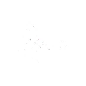 C=C/C=C1\C(=C(/C)N(c2ccc(-c3ccccc3)cc2)c2ccc3c(c2)C(C)(C)c2ccccc2-3)C2(c3ccccc31)c1ccccc1-c1ccccc12